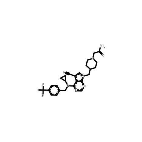 CC(=O)CN1CCC(Cn2cc(C#N)c3c(N(Cc4ccc(C(F)(F)F)cc4)C4CC4)ncnc32)CC1